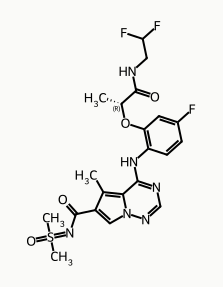 Cc1c(C(=O)N=S(C)(C)=O)cn2ncnc(Nc3ccc(F)cc3O[C@H](C)C(=O)NCC(F)F)c12